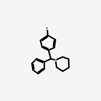 Fc1ccc(C(c2ccccc2)N2CCCCC2)cc1